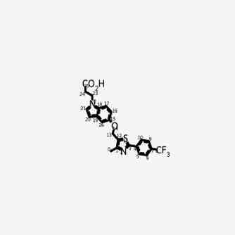 Cc1nc(-c2ccc(C(F)(F)F)cc2)sc1COc1ccc2c(ccn2CCC(=O)O)c1